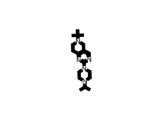 CC(C)N1CCN(c2ncc3c(n2)CCN(C(C)(C)C)C3)CC1